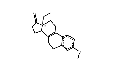 CC[C@]12CCC3=C(CCc4cc(OC)ccc43)C1CCC2=O